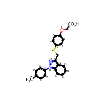 O=C(O)COc1ccc(SCc2nn(-c3ccc(C(F)(F)F)cc3)c3ccccc23)cc1